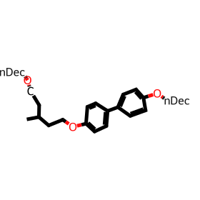 CCCCCCCCCCOCCC(C)CCOc1ccc(-c2ccc(OCCCCCCCCCC)cc2)cc1